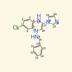 Clc1ccc2c(c1)N(NCc1ccccc1)C=C(n1ccnc1)N2